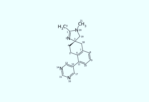 CC1=N[C@]2(CCc3c(cccc3-c3cncnc3)C2)CN1C